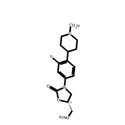 CC(=O)NC[C@H]1CN(c2ccc(C3CCN(C(=O)O)CC3)c(F)c2)C(=O)O1